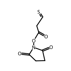 O=C(CC=S)ON1C(=O)CCC1=O